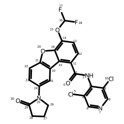 O=C(Nc1c(Cl)cncc1Cl)c1ccc(OC(F)F)c2oc3ccc(N4CCCC4=O)cc3c12